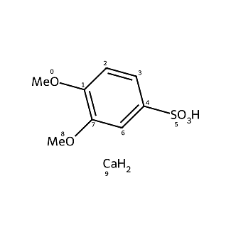 COc1ccc(S(=O)(=O)O)cc1OC.[CaH2]